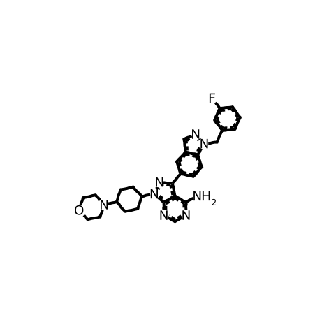 Nc1ncnc2c1c(-c1ccc3c(cnn3Cc3cccc(F)c3)c1)nn2C1CCC(N2CCOCC2)CC1